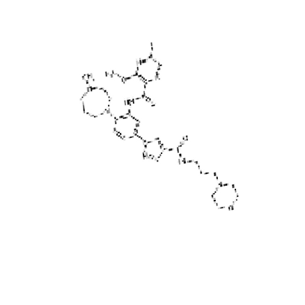 CN1CCCN(c2ccc(-n3cc(C(=O)NCCCN4CCOCC4)nn3)cc2NC(=O)c2nnc(F)nc2OC(F)(F)F)CC1